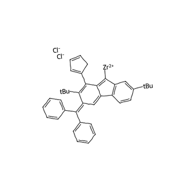 CC(C)(C)c1ccc2c(c1)[C]([Zr+2])=c1c-2cc(=C(c2ccccc2)c2ccccc2)c(C(C)(C)C)c1C1=CC=CC1.[Cl-].[Cl-]